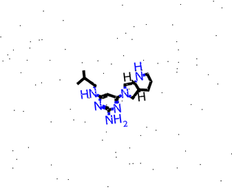 CC(C)CNc1cc(N2C[C@H]3CCCN[C@H]3C2)nc(N)n1